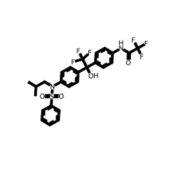 CC(C)CN(c1ccc(C(O)(c2ccc(NC(=O)C(F)(F)F)cc2)C(F)(F)F)cc1)S(=O)(=O)c1ccccc1